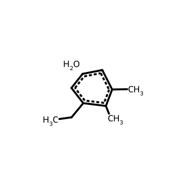 CCc1cccc(C)c1C.O